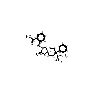 CN(C)[C@]1(c2ccccc2)CC[C@]2(CC1)CC(=O)N(Cc1ccccc1C(=O)O)C2